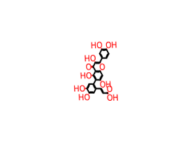 O=C(O)/C=C/c1cc(O)c(O)cc1-c1c(O)cc2oc(-c3ccc(O)c(O)c3)c(O)c(=O)c2c1O